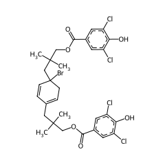 CC(C)(COC(=O)c1cc(Cl)c(O)c(Cl)c1)CC1=CCC(Br)(CC(C)(C)COC(=O)c2cc(Cl)c(O)c(Cl)c2)C=C1